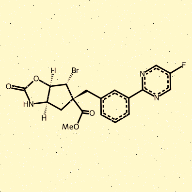 COC(=O)[C@]1(Cc2cccc(-c3ncc(F)cn3)c2)C[C@H]2NC(=O)O[C@H]2[C@@H]1Br